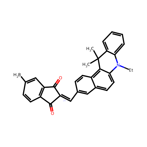 Bc1ccc2c(c1)C(=O)/C(=C\c1ccc3c4c(ccc3c1)N(CC)c1ccccc1C4(C)C)C2=O